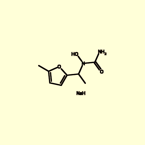 Cc1ccc(C(C)N(O)C(N)=O)o1.[NaH]